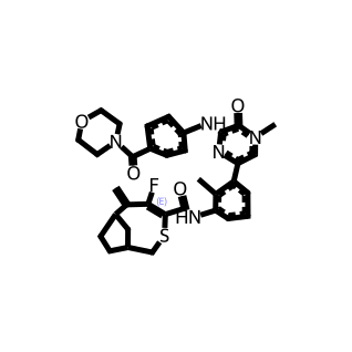 C=C1/C(F)=C(/C(=O)Nc2cccc(-c3cn(C)c(=O)c(Nc4ccc(C(=O)N5CCOCC5)cc4)n3)c2C)SCC2CCC1C2